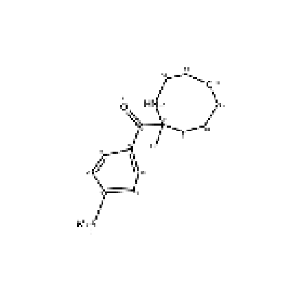 CSc1ccc(C(=O)C2(C)CCCOCCN2)cc1